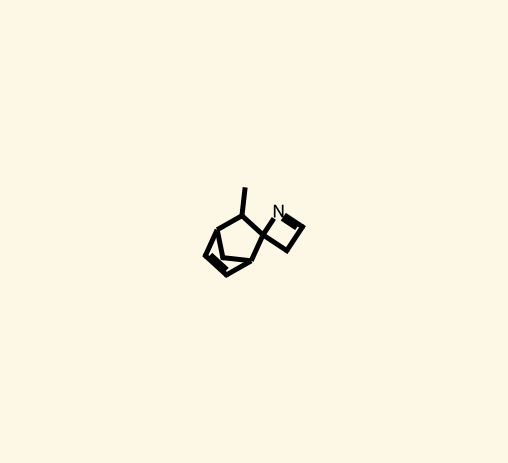 CC1C2C=CC(C2)C12CC=N2